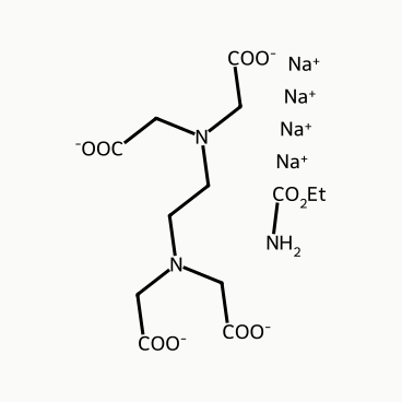 CCOC(N)=O.O=C([O-])CN(CCN(CC(=O)[O-])CC(=O)[O-])CC(=O)[O-].[Na+].[Na+].[Na+].[Na+]